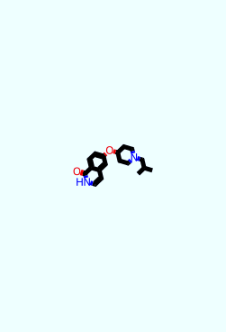 CC(C)CN1CCC(Oc2ccc3c(=O)[nH]ccc3c2)CC1